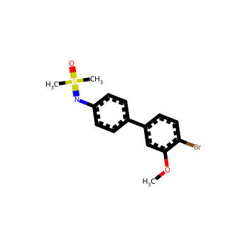 COc1cc(-c2ccc(N=S(C)(C)=O)cc2)ccc1Br